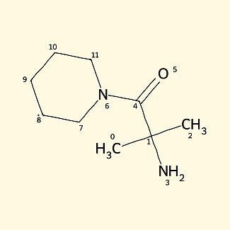 CC(C)(N)C(=O)N1C[CH]CCC1